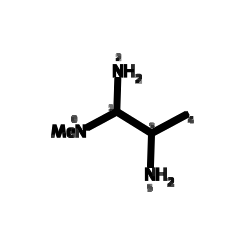 CNC(N)C(C)N